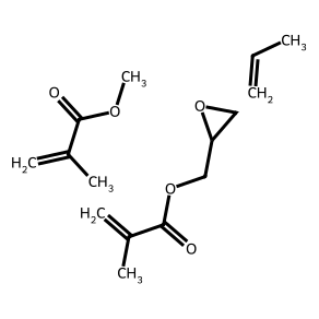 C=C(C)C(=O)OC.C=C(C)C(=O)OCC1CO1.C=CC